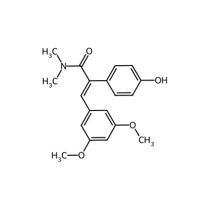 COc1cc(/C=C(/C(=O)N(C)C)c2ccc(O)cc2)cc(OC)c1